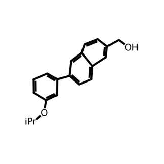 CC(C)Oc1cccc(-c2ccc3cc(CO)ccc3c2)c1